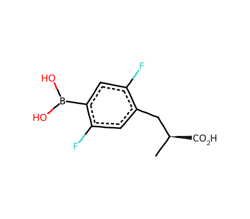 C[C@@H](Cc1cc(F)c(B(O)O)cc1F)C(=O)O